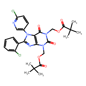 CC(C)(C)C(=O)OCn1c(=O)c2c(nc(-c3ccccc3Cl)n2-c2ccc(Cl)nc2)n(COC(=O)C(C)(C)C)c1=O